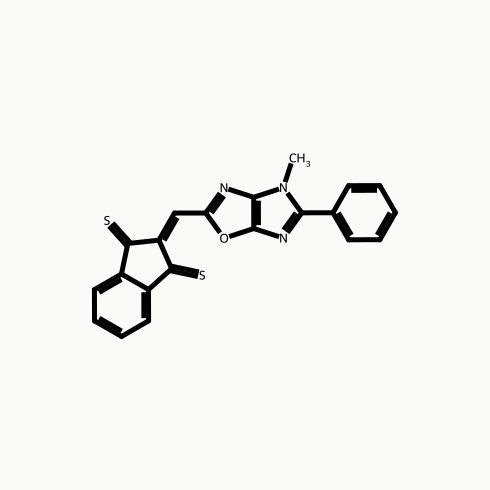 Cn1c(-c2ccccc2)nc2oc(C=C3C(=S)c4ccccc4C3=S)nc21